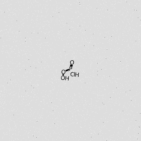 Cl.O=POO